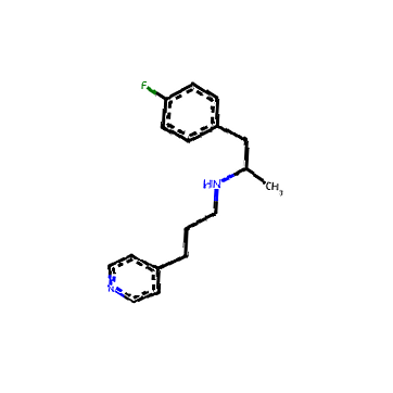 CC(Cc1ccc(F)cc1)NCCCc1ccncc1